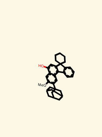 COc1cc2c(O)cc3c(c2cc1C12CC4CC(CC(C4)C1)C2)-c1ccccc1C31CCCCC1